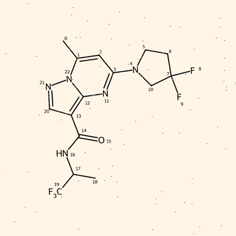 Cc1cc(N2CCC(F)(F)C2)nc2c(C(=O)NC(C)C(F)(F)F)cnn12